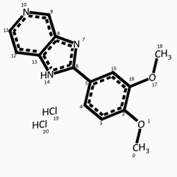 COc1ccc(-c2nc3cnccc3[nH]2)cc1OC.Cl.Cl